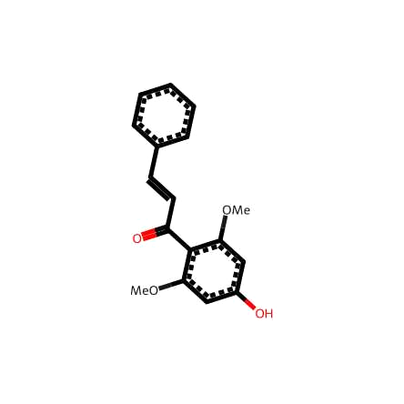 COc1cc(O)cc(OC)c1C(=O)C=Cc1ccccc1